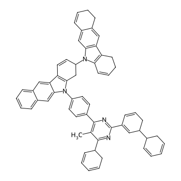 Cc1c(-c2ccc(-n3c4c(c5cc6ccccc6cc53)C=CC(n3c5c(c6cc7c(cc63)C=CCC7)CCC=C5)C4)cc2)nc(C2=CC(C3C=CC=CC3)CC=C2)nc1C1C=CC=CC1